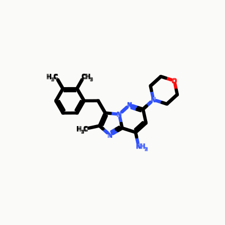 Cc1cccc(Cc2c(C)nc3c(N)cc(N4CCOCC4)nn23)c1C